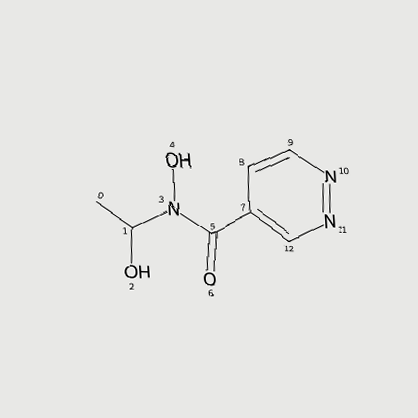 CC(O)N(O)C(=O)c1ccnnc1